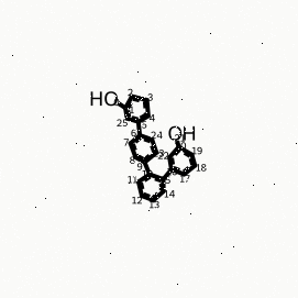 Oc1cccc(-c2ccc(-c3ccccc3-c3cccc(O)c3)cc2)c1